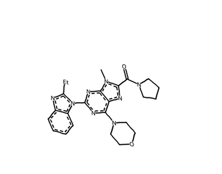 CCc1nc2ccccc2n1-c1nc(N2CCOCC2)c2nc(C(=O)N3CCCC3)n(C)c2n1